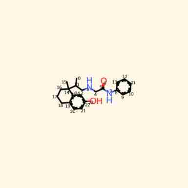 CC(CNCC(=O)Nc1ccccc1)C1(C)CCCc2ccc(O)cc21